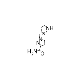 NC(=O)c1ccn(C[C@@H]2CCNC2)n1